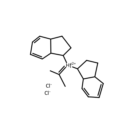 C[C](C)=[Hf+2]([CH]1CCC2C=CC=CC21)[CH]1CCC2C=CC=CC21.[Cl-].[Cl-]